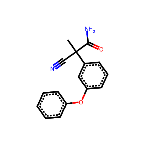 CC(C#N)(C(N)=O)c1cccc(Oc2ccccc2)c1